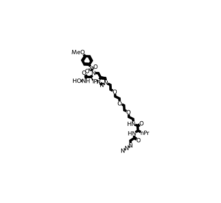 CCCC(NC(=O)CN=[N+]=[N-])C(=O)NCCOCCOCCOCCn1cc(CN([C@H](C(=O)NO)C(C)C)S(=O)(=O)c2ccc(OC)cc2)nn1